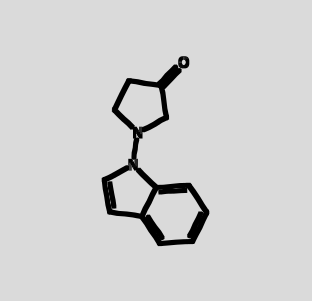 O=C1CCN(n2ccc3ccccc32)C1